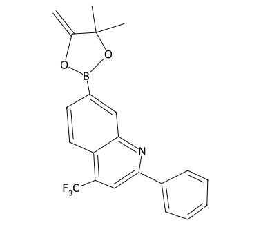 C=C1OB(c2ccc3c(C(F)(F)F)cc(-c4ccccc4)nc3c2)OC1(C)C